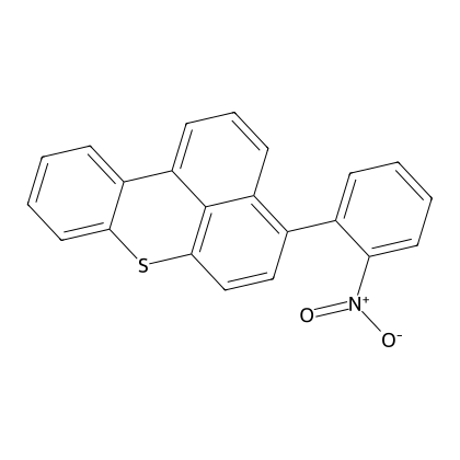 O=[N+]([O-])c1ccccc1-c1ccc2c3c(cccc13)-c1ccccc1S2